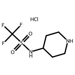 Cl.O=S(=O)(NC1CCNCC1)C(F)(F)F